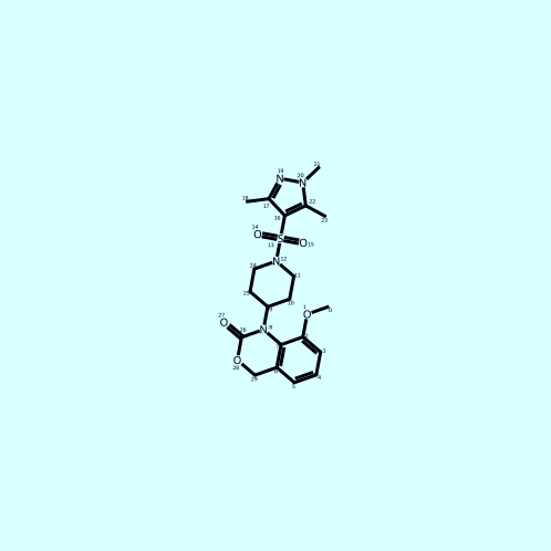 COc1cccc2c1N(C1CCN(S(=O)(=O)c3c(C)nn(C)c3C)CC1)C(=O)OC2